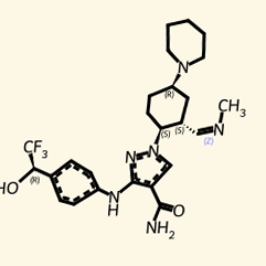 C/N=C\[C@H]1C[C@H](N2CCCCC2)CC[C@@H]1n1cc(C(N)=O)c(Nc2ccc([C@@H](O)C(F)(F)F)cc2)n1